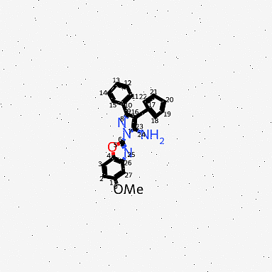 COc1ccc2oc(-n3nc(-c4ccccc4)c(-c4ccccc4)c3N)nc2c1